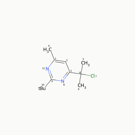 Cc1cc(C(C)(C)Cl)nc(C(C)(C)C)n1